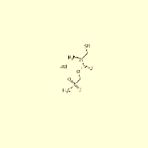 CS(=O)(=O)COC(=O)[C@@H](N)CS.Cl